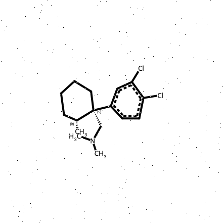 C[C@@H]1CCCC[C@@]1(CN(C)C)c1ccc(Cl)c(Cl)c1